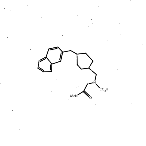 CNC(=O)CN(CC1CCN(Cc2ccc3ccccc3c2)CC1)C(=O)O